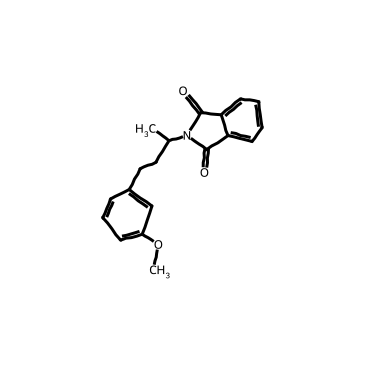 COc1cccc(CCC(C)N2C(=O)c3ccccc3C2=O)c1